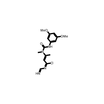 COc1cc(NC(=O)N(C)/C(C)=C/C(Cl)=N\C=N)cc(OC)c1